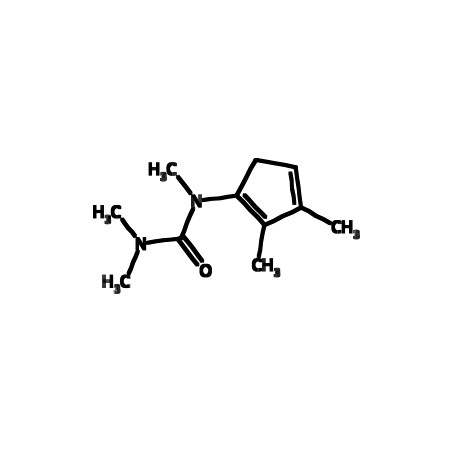 CC1=CCC(N(C)C(=O)N(C)C)=C1C